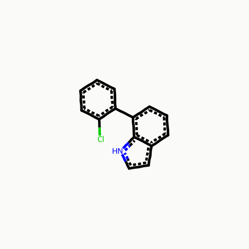 Clc1ccccc1-c1cccc2cc[nH]c12